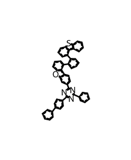 c1ccc(-c2ccc(-c3nc(-c4ccccc4)nc(-c4ccc5c(c4)oc4cccc(-c6ccccc6-c6cccc7sc8ccccc8c67)c45)n3)cc2)cc1